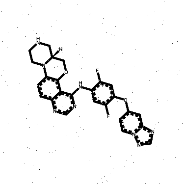 Fc1cc(Oc2ccn3ncnc3c2)c(F)cc1Nc1ncnc2ccc3c(c12)OC[C@H]1CNCCN31